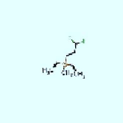 C=CS(C)(C=C)CCC(F)F